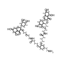 NCCc1ccc(OCCCC(=O)NCCOCCOc2c(-c3ccc(O)c(O)c3)oc3cc(O)cc(O)c3c2=O)c(OCCCC(=O)NCCOCCOc2c(-c3ccc(O)c(O)c3)oc3cc(O)cc(O)c3c2=O)c1